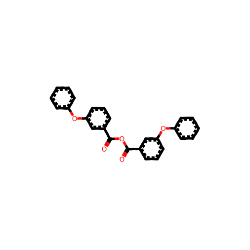 O=C(OC(=O)c1cccc(Oc2ccccc2)c1)c1cccc(Oc2ccccc2)c1